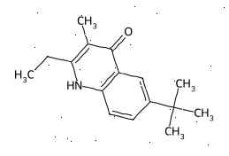 CCc1[nH]c2ccc(C(C)(C)C)cc2c(=O)c1C